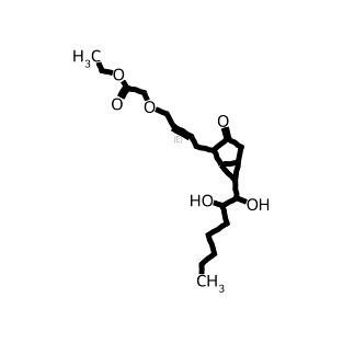 CCCCCC(O)C(O)C1C2CC(=O)C(C/C=C/COCC(=O)OCC)C21